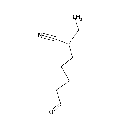 CCC(C#N)CCCCC=O